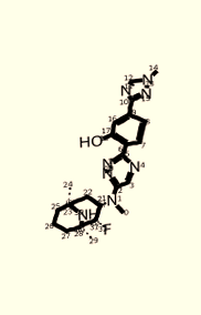 CN(c1cnc(-c2ccc(-c3ncn(C)n3)cc2O)nn1)[C@H]1C[C@]2(C)CCC[C@@](C)(N2)[C@H]1F